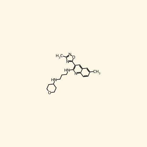 Cc1ccc2nc(NCCCNC3CCOCC3)c(-c3nc(C)no3)cc2c1